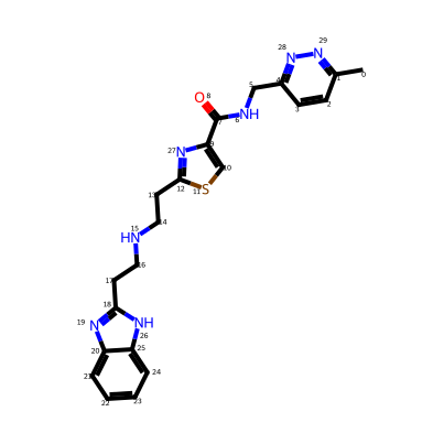 Cc1ccc(CNC(=O)c2csc(CCNCCc3nc4ccccc4[nH]3)n2)nn1